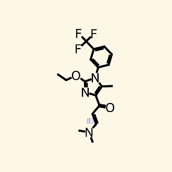 CCOc1nc(C(=O)/C=C/N(C)C)c(C)n1-c1cccc(C(F)(F)F)c1